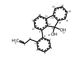 C=CCc1ccccc1-c1cccc2c1C(O)(O)c1ccccc1-2